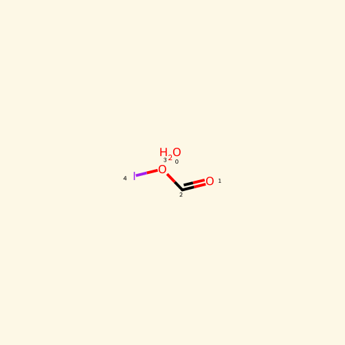 O.O=COI